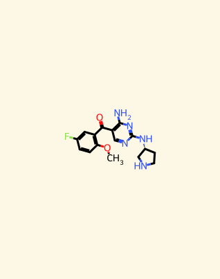 COc1ccc(F)cc1C(=O)c1cnc(N[C@@H]2CCNC2)nc1N